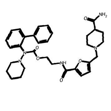 NC(=O)C1CCN(Cc2ccc(C(=O)NCCOC(=O)N(c3ccccc3-c3ccccc3)N3CC[CH]CC3)o2)CC1